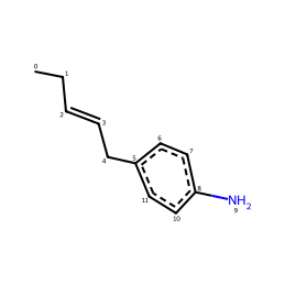 CC/C=C/Cc1ccc(N)cc1